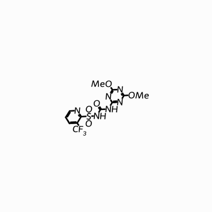 COc1nc(NC(=O)NS(=O)(=O)c2ncccc2C(F)(F)F)nc(OC)n1